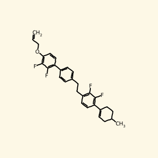 C=CCOc1ccc(-c2ccc(CCc3ccc(C4=CCC(C)CC4)c(F)c3F)cc2)c(F)c1F